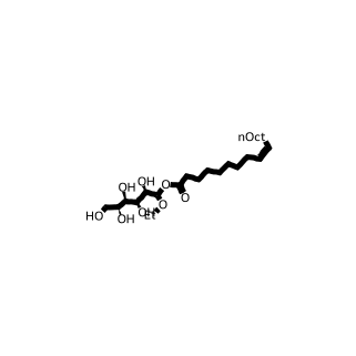 CCCCCCCC/C=C\CCCCCCCC(=O)OC(OCC)[C@H](O)[C@@H](O)[C@H](O)[C@H](O)CO